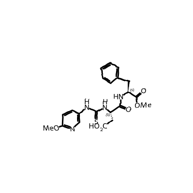 COC(=O)[C@H](Cc1ccccc1)NC(=O)[C@H](CC(=O)O)NC(=S)Nc1ccc(OC)nc1